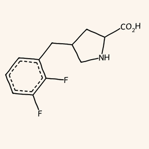 O=C(O)C1CC(Cc2cccc(F)c2F)CN1